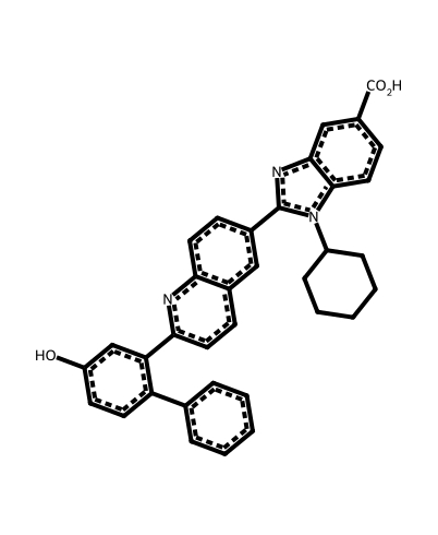 O=C(O)c1ccc2c(c1)nc(-c1ccc3nc(-c4cc(O)ccc4-c4ccccc4)ccc3c1)n2C1CCCCC1